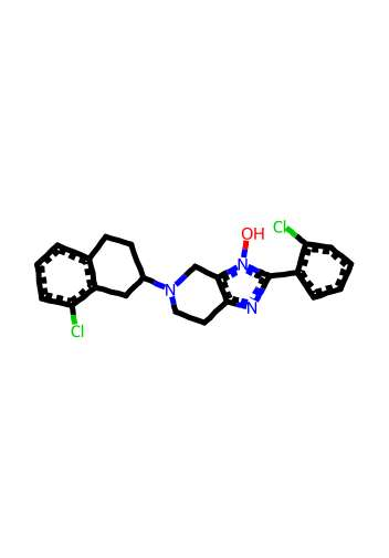 On1c(-c2ccccc2Cl)nc2c1CN(C1CCc3cccc(Cl)c3C1)CC2